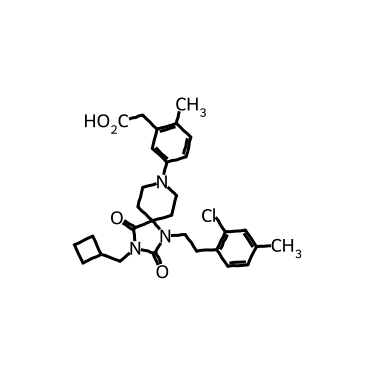 Cc1ccc(CCN2C(=O)N(CC3CCC3)C(=O)C23CCN(c2ccc(C)c(CC(=O)O)c2)CC3)c(Cl)c1